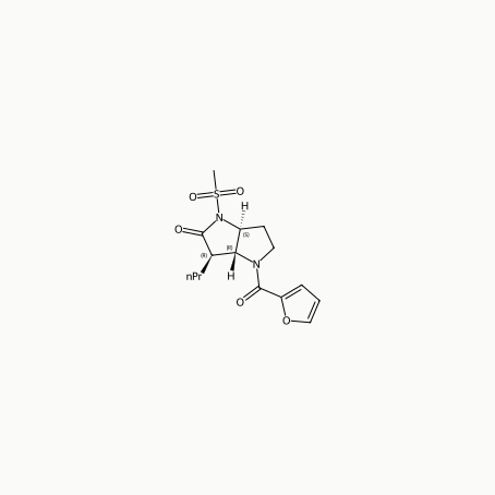 CCC[C@H]1C(=O)N(S(C)(=O)=O)[C@H]2CCN(C(=O)c3ccco3)[C@H]12